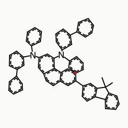 CC1(C)c2ccccc2-c2ccc(-c3ccc4c(ccc5cc(N(c6ccccc6)c6cccc(-c7ccccc7)c6)cc(N(c6ccccc6)c6cccc(-c7ccccc7)c6)c54)c3)cc21